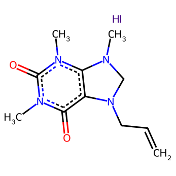 C=CCN1CN(C)c2c1c(=O)n(C)c(=O)n2C.I